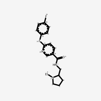 CCN1CCCC1CNC(=O)c1ccc(Sc2ccc(F)cc2)nc1